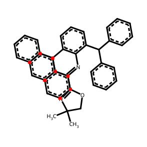 CC1(C)COC(/C(=N/c2c(C(c3ccccc3)c3ccccc3)cccc2C(c2ccccc2)c2ccccc2)c2ccccc2)=N1